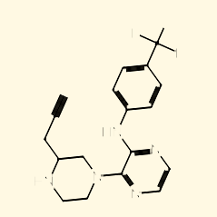 C#CCC1CN(c2nccnc2Nc2ccc(C(F)(F)F)cc2)CCN1